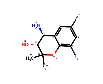 CC(=O)c1cc(I)c2c(c1)[C@H](N)[C@@H](O)C(C)(C)O2